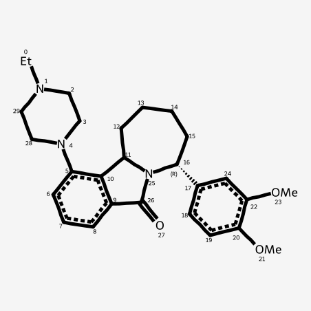 CCN1CCN(c2cccc3c2C2CCCC[C@H](c4ccc(OC)c(OC)c4)N2C3=O)CC1